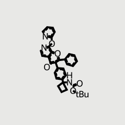 CC(C)(C)OC(=O)NC1(c2ccc(-c3c(-c4ccccc4)oc4c(Oc5ccccn5)nccc4c3=O)cc2)CCC1